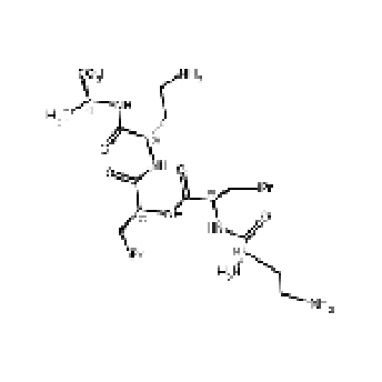 CC(C)C[C@H](NC(=O)[C@@H](CC(C)C)NC(=O)[C@@H](N)CCN)C(=O)N[C@@H](CCN)C(=O)N[C@@H](C)C(=O)O